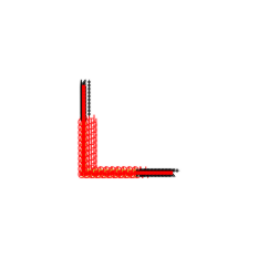 O=S(O)O.O=S(O)O.O=S(O)O.O=S(O)O.O=S(O)O.O=S(O)O.O=S(O)O.O=S(O)O.O=S(O)O.O=S(O)O.O=S(O)O.O=S(O)O.O=S(O)O.O=S(O)O.O=S(O)O.O=S(O)O.O=S(O)O.O=S(O)O.O=S(O)O.O=S(O)O.[K+].[K+].[K+].[K+].[K+].[K+].[K+].[K+].[K+].[K+].[K+].[K+].[K+].[K+].[K+].[K+].[K+].[K+].[K+].[K+].[K+].[K+].[K+].[K+].[K+].[K+].[K+].[K+].[K+].[K+].[K+].[K+].[K+].[K+].[K+].[K+].[K+].[K+].[K+].[K+].[K+].[K+].[K+].[K+]